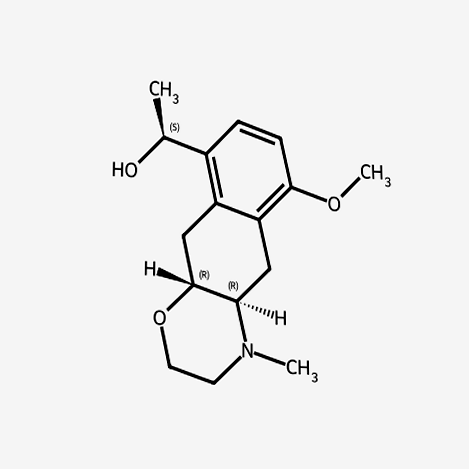 COc1ccc([C@H](C)O)c2c1C[C@@H]1[C@@H](C2)OCCN1C